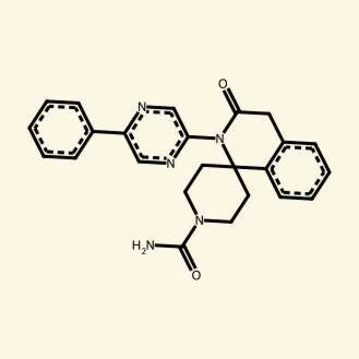 NC(=O)N1CCC2(CC1)c1ccccc1CC(=O)N2c1cnc(-c2ccccc2)cn1